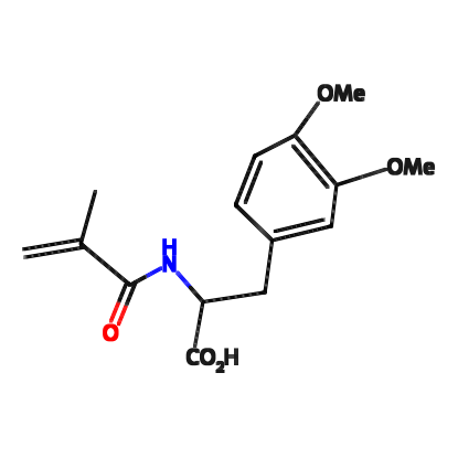 C=C(C)C(=O)NC(Cc1ccc(OC)c(OC)c1)C(=O)O